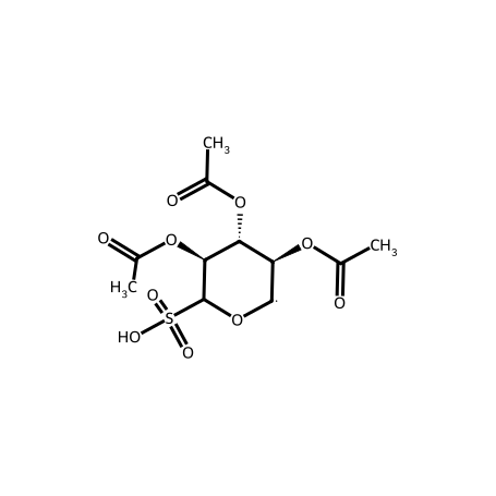 CC(=O)O[C@@H]1[C@@H](OC(C)=O)[CH]OC(S(=O)(=O)O)[C@H]1OC(C)=O